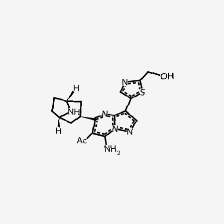 CC(=O)c1c([C@@H]2C[C@H]3CC[C@@H](C2)N3)nc2c(-c3cnc(CO)s3)cnn2c1N